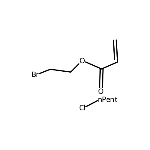 C=CC(=O)OCCBr.CCCCCCl